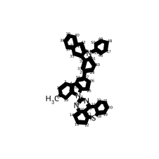 CC1C=Cc2c(n(-c3nc4c5c(cccc5n3)Sc3ccccc3-4)c3ccc(-c4ccc5c(c4)c4cc6ccccc6cc4n5-c4ccccc4)cc23)C1